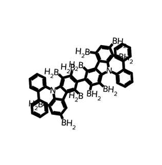 Bc1cc(B)c2c(c1)c1c(B)c(-c3c(B)c(B)c4c(c3B)c3c(B)cc(B)c(B)c3n4-c3ccccc3-c3ccccc3)c(B)c(B)c1n2-c1ccccc1-c1ccccc1